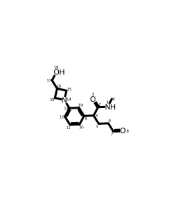 CNC(=O)C(CCC=O)c1cccc(N2CC(CO)C2)c1